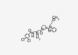 COCCCn1c([C@@H]2CCCN(C(=O)C[C@@H](N)CNC(=O)c3ccc(Cl)c(Cl)c3)C2)nc2ccccc21